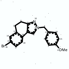 COc1ccc(Cn2cc3c(n2)CCc2cc(Br)ccc2-3)cc1